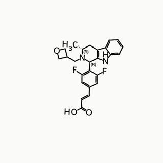 C[C@@H]1Cc2c([nH]c3ccccc23)[C@@H](c2c(F)cc(C=CC(=O)O)cc2F)N1CC1COC1